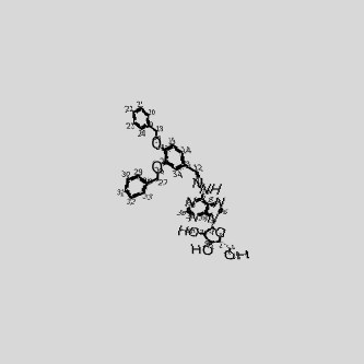 OC[C@H]1O[C@@H](n2cnc3c(NN=Cc4ccc(OCc5ccccc5)c(OCc5ccccc5)c4)ncnc32)[C@H](O)[C@@H]1O